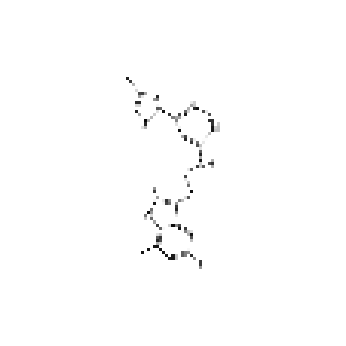 Cc1csc(-c2cc(NCCc3c(C)oc4c(C)cc(F)cc34)ncn2)c1